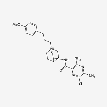 COc1ccc(CCC[N+]23CCC(CC2)C(NC(=O)c2nc(Cl)c(N)nc2N)C3)cc1